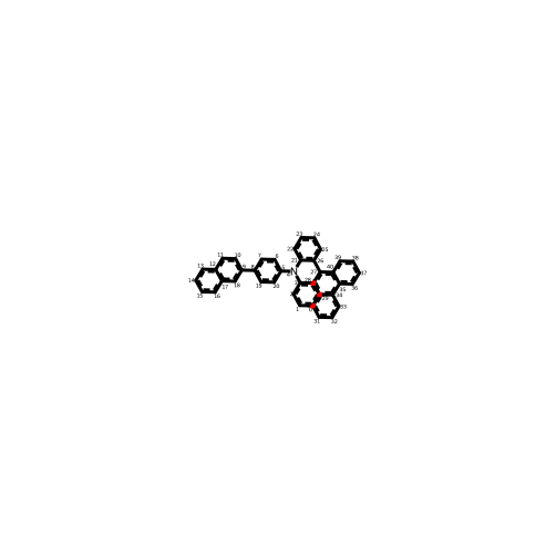 c1ccc(N(c2ccc(-c3ccc4ccccc4c3)cc2)c2ccccc2-c2cc3ccccc3c3ccccc23)cc1